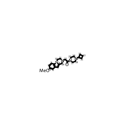 COc1ccc2c(c1)cc1n2CCN(CC(=O)N2CCN(C3CCC3)CC2)C1